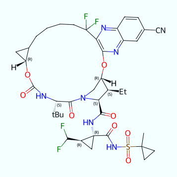 CC[C@@H]1[C@@H]2CN(C(=O)[C@H](C(C)(C)C)NC(=O)O[C@@H]3CC3CCCCC(F)(F)c3nc4ccc(C#N)cc4nc3O2)[C@@H]1C(=O)N[C@]1(C(=O)NS(=O)(=O)C2(C)CC2)C[C@H]1C(F)F